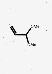 [CH]=CC(OC)OC